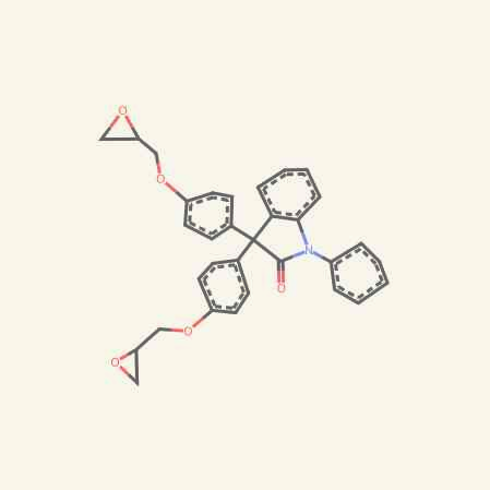 O=C1N(c2ccccc2)c2ccccc2C1(c1ccc(OCC2CO2)cc1)c1ccc(OCC2CO2)cc1